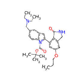 CCCOc1cc2c(c(-c3cc4cc(CN(CC)CC)ccc4n3C(=O)OC(C)(C)C)c1)C(=O)NC2